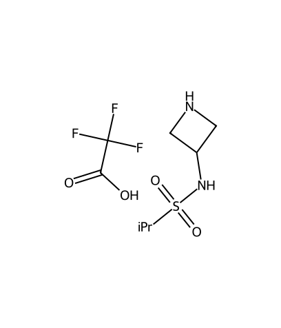 CC(C)S(=O)(=O)NC1CNC1.O=C(O)C(F)(F)F